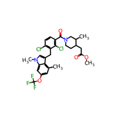 COC(=O)CC1CCN(C(=O)c2ccc(Cl)c(Cc3cn(C)c4cc(OC(F)(F)F)cc(C)c34)c2Cl)CC1C